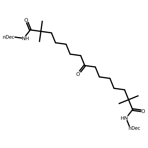 CCCCCCCCCCNC(=O)C(C)(C)CCCCCC(=O)CCCCCC(C)(C)C(=O)NCCCCCCCCCC